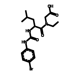 CCN(CC(=O)O)C(=O)C(CC(C)C)NC(=O)Nc1ccc(Br)cc1